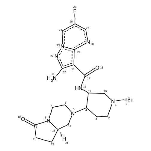 CCCCN1CCC(N2CCN3C(=O)CC[C@@H]3C2)C(NC(=O)c2c(N)nn3cc(F)cnc23)C1